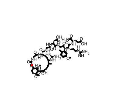 COc1ccc(C[C@H](NC(=O)[C@H](CC(=O)O)NC(=O)CNC(=O)[C@@H]2CCC(NC(=N)N)C(C)CC[C@H]3O[C@]3(C)[C@H]3[C@H](OC)[C@@H](CC[C@]34CO4)OC(=O)NCC(=O)N2)C(=O)N[C@@H](CCCNC(=N)N)C(=O)N[C@@H](CCC(=O)O)C(N)=O)cc1